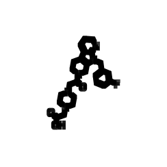 O=C(O)CN1CCN(CC(=O)N2CCc3c(n(Cc4cccc(F)c4)c4ncccc34)C2)CC1